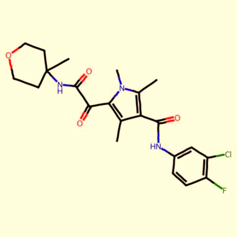 Cc1c(C(=O)Nc2ccc(F)c(Cl)c2)c(C)n(C)c1C(=O)C(=O)NC1(C)CCOCC1